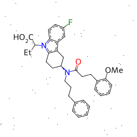 CCC(C(=O)O)n1c2c(c3cc(F)ccc31)C[C@@H](N(CCCc1ccccc1)C(=O)CCc1ccccc1OC)CC2